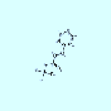 O=C(CC(F)(F)F)OOc1ccccc1